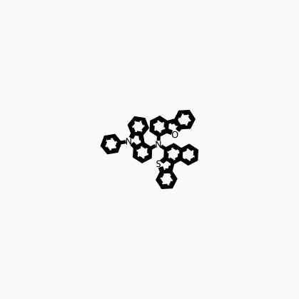 c1ccc(-n2c3ccccc3c3c(N(c4cccc5c4oc4ccccc45)c4cc5ccccc5c5c4sc4ccccc45)cccc32)cc1